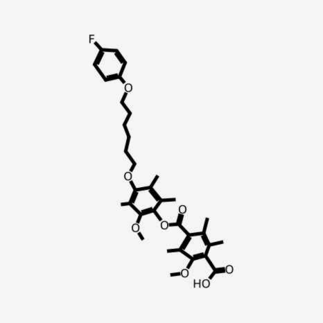 COc1c(C)c(OCCCCCCOc2ccc(F)cc2)c(C)c(C)c1OC(=O)c1c(C)c(C)c(C(=O)O)c(OC)c1C